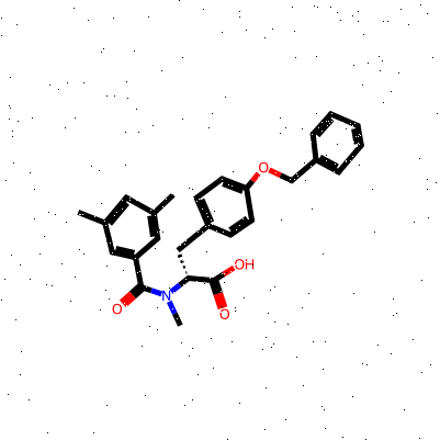 Cc1cc(C)cc(C(=O)N(C)[C@H](Cc2ccc(OCc3ccccc3)cc2)C(=O)O)c1